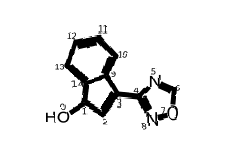 OC1C=C(c2ncon2)c2ccccc21